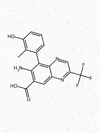 Cc1c(O)cccc1-c1c(N)c(C(=O)O)cc2nc(C(F)(F)F)cnc12